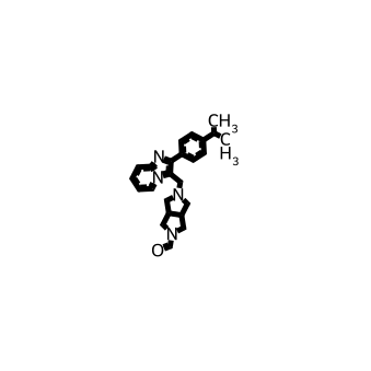 CC(C)c1ccc(-c2nc3ccccn3c2CN2CC3CN(C=O)CC3C2)cc1